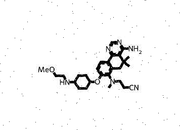 COCCNC1CCC(Oc2ccc3c(c2N(C)CCC#N)CC(C)(C)c2c(N)ncnc2-3)CC1